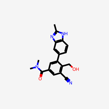 Cc1nc2cc(-c3cc(C(=O)N(C)C)cc(C#N)c3CO)ccc2[nH]1